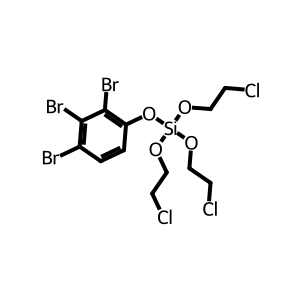 ClCCO[Si](OCCCl)(OCCCl)Oc1ccc(Br)c(Br)c1Br